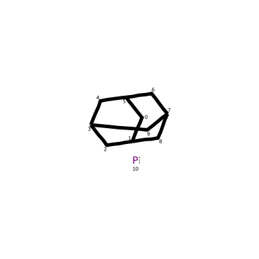 C1C2CC3CC1CC(C2)C3.[P]